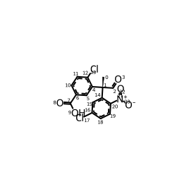 C[C@](C=O)(c1cc(C(=O)O)ccc1Cl)c1cc(Cl)ccc1[N+](=O)[O-]